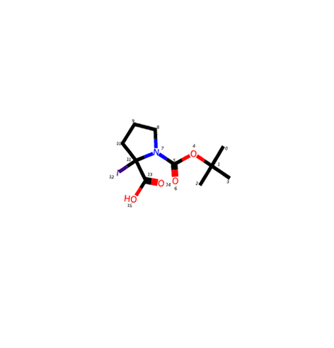 CC(C)(C)OC(=O)N1CCCC1(I)C(=O)O